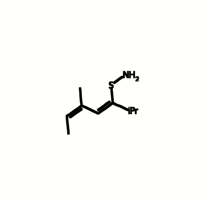 C/C=C(C)\C=C(/SN)C(C)C